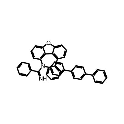 N=C(c1ccccc1)N(c1ccc(-c2ccc(-c3ccccc3)cc2)cc1)c1cccc2oc3cccc(-c4ccccc4)c3c12